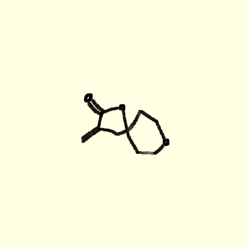 C=C1CC2(CCOCC2)OC1=O